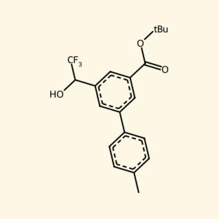 Cc1ccc(-c2cc(C(=O)OC(C)(C)C)cc(C(O)C(F)(F)F)c2)cc1